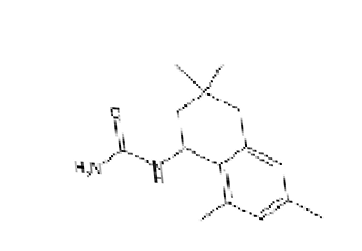 Cc1cc(C)c2c(c1)CC(C)(C)CC2NC(N)=O